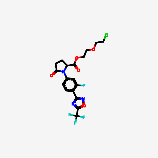 O=C(OCCOCCCl)[C@@H]1CCC(=O)N1c1ccc(-c2noc(C(F)(F)F)n2)c(F)c1